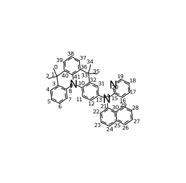 CC1(C)c2ccccc2N2c3ccc(N(c4ccccn4)c4cccc5ccccc45)cc3C(C)(C)c3cccc1c32